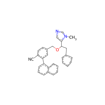 Cn1cncc1C(Cc1ccccc1)OCc1ccc(C#N)c(-c2cccc3ccccc23)c1